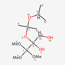 CO[Si](OC)(OC)[Si](O)(O[Si](C)(C)O[SiH](C)C)[SiH2]O